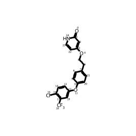 O=c1cc(OCCc2ccc(Oc3ccc(Cl)c(C(F)(F)F)c3)cc2)cc[nH]1